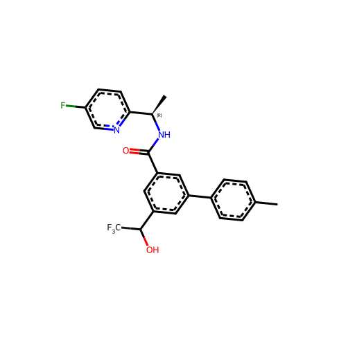 Cc1ccc(-c2cc(C(=O)N[C@H](C)c3ccc(F)cn3)cc(C(O)C(F)(F)F)c2)cc1